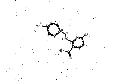 CCc1ncc(C(N)=O)c(NCc2ccc(OC)cc2)n1